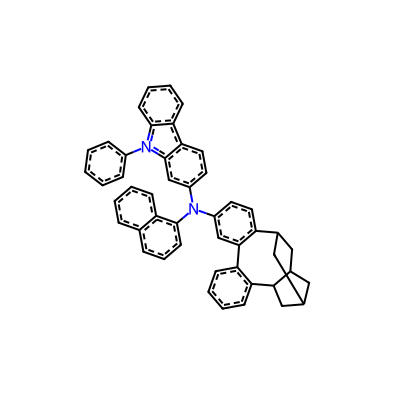 c1ccc(-n2c3ccccc3c3ccc(N(c4ccc5c(c4)-c4ccccc4C4CC6CC5CC4C6)c4cccc5ccccc45)cc32)cc1